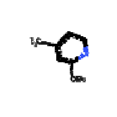 CC(C)COc1cc(C(F)(F)F)ccn1